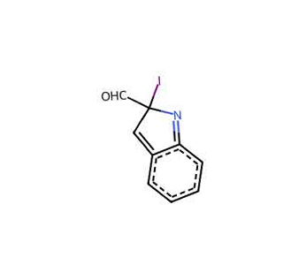 O=CC1(I)C=c2ccccc2=N1